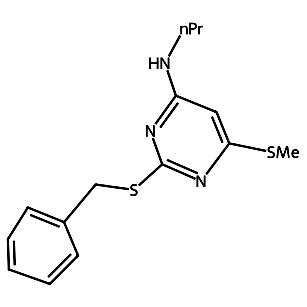 CCCNc1cc(SC)nc(SCc2ccccc2)n1